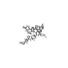 Cc1cc(N2CCN(CC(=O)N3CC(O)C3)CC2)cc2c(N(C)c3nc(-c4ccc(F)cc4)c(C#N)s3)c(CC(F)F)nn12